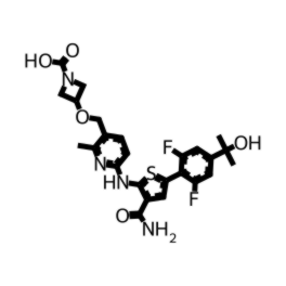 Cc1nc(Nc2sc(-c3c(F)cc(C(C)(C)O)cc3F)cc2C(N)=O)ccc1COC1CN(C(=O)O)C1